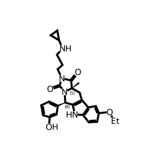 CCOc1ccc2[nH]c3c(c2c1)C[C@@]1(C)C(=O)N(CCCNC2CC2)C(=O)N1[C@@H]3c1cccc(O)c1